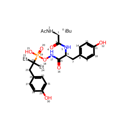 CC[C@H](C)[C@H](NC(C)=O)C(=O)N[C@@H](Cc1ccc(O)cc1)C(=O)NOP(=O)(O)C(CC)(CC)Cc1ccc(O)cc1